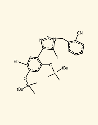 CCc1cc(-c2nnn(Cc3ccccc3C#N)c2I)c(O[Si](C)(C)C(C)(C)C)cc1O[Si](C)(C)C(C)(C)C